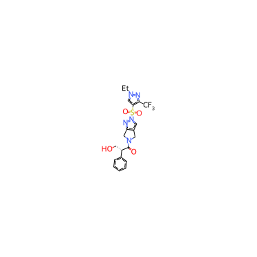 CCn1cc(S(=O)(=O)n2cc3c(n2)CN(C(=O)[C@@H](CO)c2ccccc2)C3)c(C(F)(F)F)n1